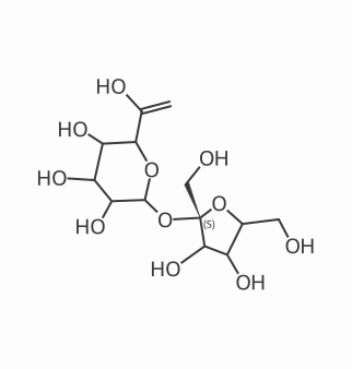 C=C(O)C1OC(O[C@]2(CO)OC(CO)C(O)C2O)C(O)C(O)C1O